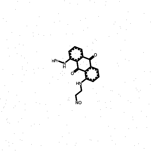 CCCNc1cccc2c1C(=O)c1c(NCCN=O)cccc1C2=O